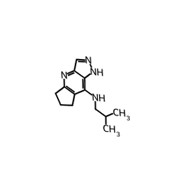 CC(C)CNc1c2c(nc3cn[nH]c13)CCC2